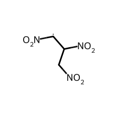 O=[N+]([O-])[CH]C(C[N+](=O)[O-])[N+](=O)[O-]